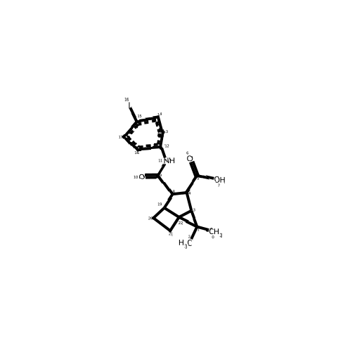 CC1(C)C2C(C(=O)O)C(C(=O)Nc3ccc(I)cc3)C3CCC321